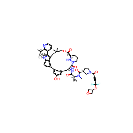 CCn1c(-c2cccnc2[C@H](C)OC)c2c3cc(ccc31)-c1cc(O)cc(c1)C[C@H](NC(=O)[C@H](C(C)C)N(C)C(=O)[C@H]1CCN(C(=O)C#CC(F)(F)OC3COC3)C1)C(=O)N1CCC[C@H](N1)C(=O)OCC(C)(C)C2